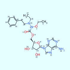 CCON(C(=O)OC[C@H]1O[C@@H](n2cnc3c(N)ncnc32)[C@H](O)[C@@H]1O)N(CC)CCc1ccccc1